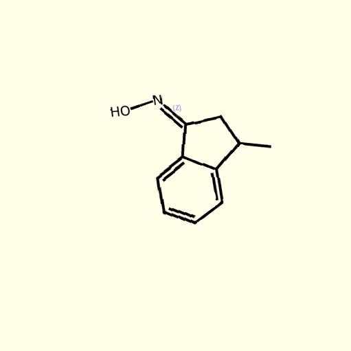 CC1C/C(=N/O)c2ccccc21